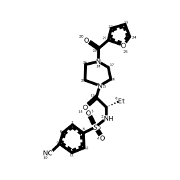 CC[C@H](NS(=O)(=O)c1ccc(C#N)cc1)C(=O)N1CCN(C(=O)c2ccco2)CC1